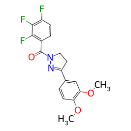 COc1ccc(C2=NN(C(=O)c3ccc(F)c(F)c3F)CC2)cc1OC